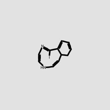 I/C1=N\C=C/N/C=C\C2CC=CC=C12